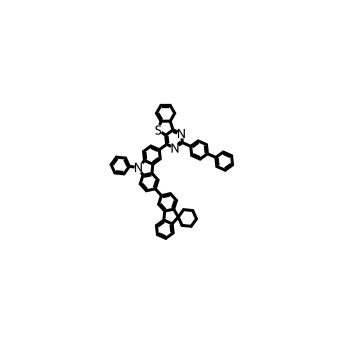 C1=CCC2C(=C1)Sc1c(-c3ccc4c(c3)c3cc(-c5ccc6c(c5)-c5ccccc5C65CCCCC5)ccc3n4-c3ccccc3)nc(-c3ccc(-c4ccccc4)cc3)nc12